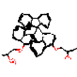 CC(O)COc1ccc(C2(c3ccc(OCC(C)O)c4ccccc34)c3ccccc3-c3ccccc32)c2ccccc12